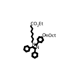 CCCCCCCCOc1ccc(-c2nc(-c3ccccc3)c(-c3ccccc3)n2CCCCCCCC(=O)OCC)cc1